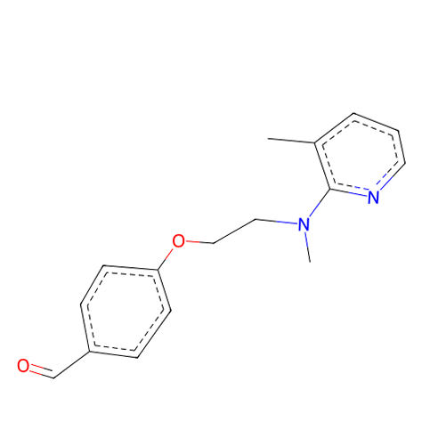 Cc1cccnc1N(C)CCOc1ccc(C=O)cc1